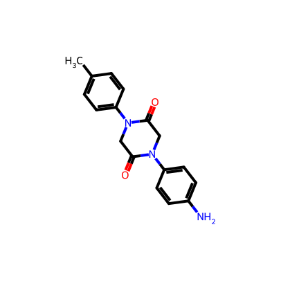 Cc1ccc(N2CC(=O)N(c3ccc(N)cc3)CC2=O)cc1